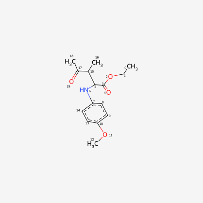 CCOC(=O)C(Nc1ccc(OC)cc1)C(C)C(C)=O